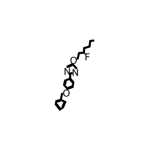 CCCC[C@@H](F)CCOc1cnc(-c2ccc(OCc3ccccc3)cc2)nc1